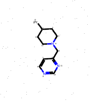 CC(C)C1CCN(Cc2ccncn2)CC1